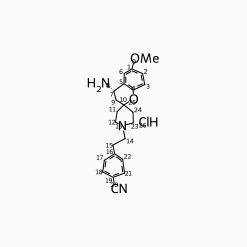 COc1ccc2c(c1)[C@@H](N)CC1(CCN(CCc3ccc(C#N)cc3)CC1)O2.Cl